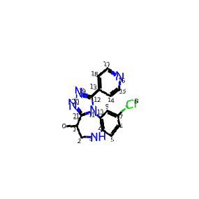 CC1CNc2ccc(Cl)cc2-n2c(-c3ccncc3)nnc21